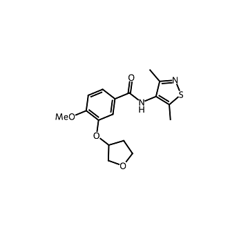 COc1ccc(C(=O)Nc2c(C)nsc2C)cc1OC1CCOC1